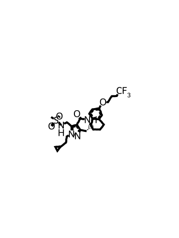 CS(=O)(=O)NCc1c2c(nn1CCC1CC1)C[C@]1(CCCc3cc(OCCCC(F)(F)F)ccc31)NC2=O